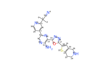 CC(C)(C#N)c1cc(-c2cnc(N)c(-c3nnc(-c4cc5c(s4)CCNC5)o3)n2)ccn1